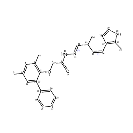 Cc1cc(C)c(OCC(=O)N/N=C/C(C)/C=C\c2cc[nH]c2C)c(-c2ccncc2)c1